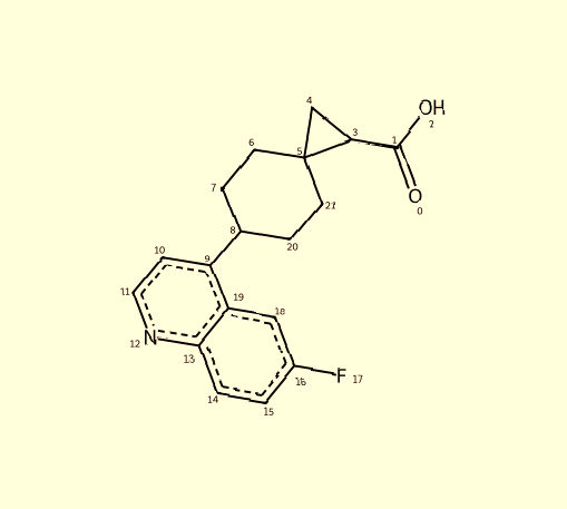 O=C(O)C1CC12CCC(c1ccnc3ccc(F)cc13)CC2